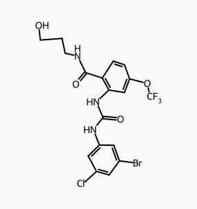 O=C(Nc1cc(Cl)cc(Br)c1)Nc1cc(OC(F)(F)F)ccc1C(=O)NCCCO